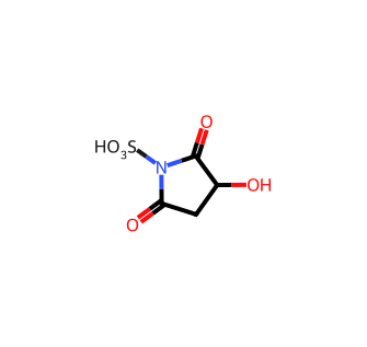 O=C1CC(O)C(=O)N1S(=O)(=O)O